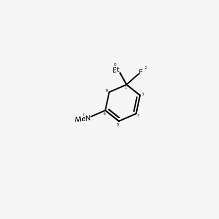 CCC1(F)C=CC=C(NC)C1